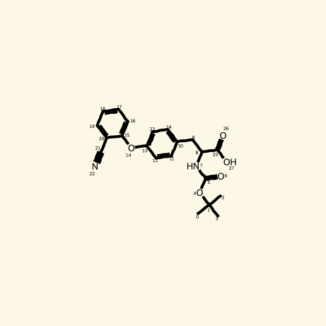 CC(C)(C)OC(=O)NC(Cc1ccc(Oc2ccccc2C#N)cc1)C(=O)O